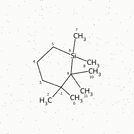 CC1(C)CCC[Si](C)(C)C1(C)C